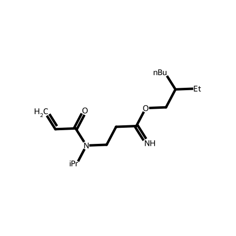 C=CC(=O)N(CCC(=N)OCC(CC)CCCC)C(C)C